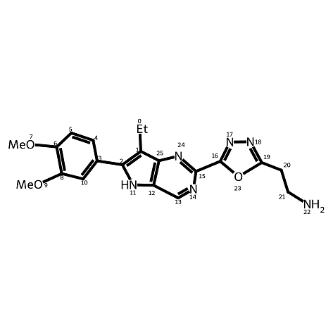 CCc1c(-c2ccc(OC)c(OC)c2)[nH]c2cnc(-c3nnc(CCN)o3)nc12